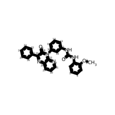 COc1ccccc1NC(=O)Nc1cccc(-n2c(=O)c(-c3ccccc3)nc3cccnc32)c1